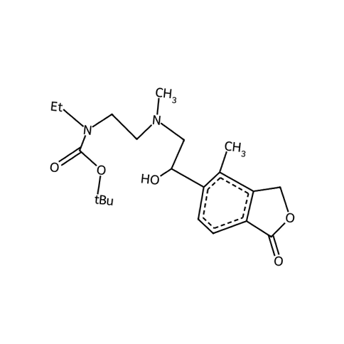 CCN(CCN(C)CC(O)c1ccc2c(c1C)COC2=O)C(=O)OC(C)(C)C